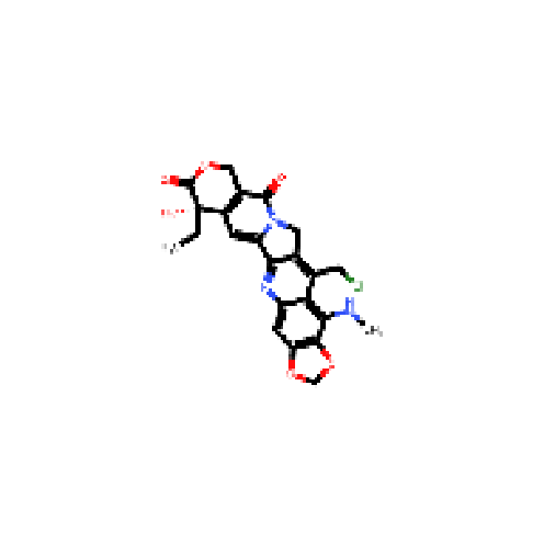 CC[C@@]1(O)C(=O)OCc2c1cc1n(c2=O)Cc2c-1nc1cc3c(c(NC)c1c2CCl)OCO3